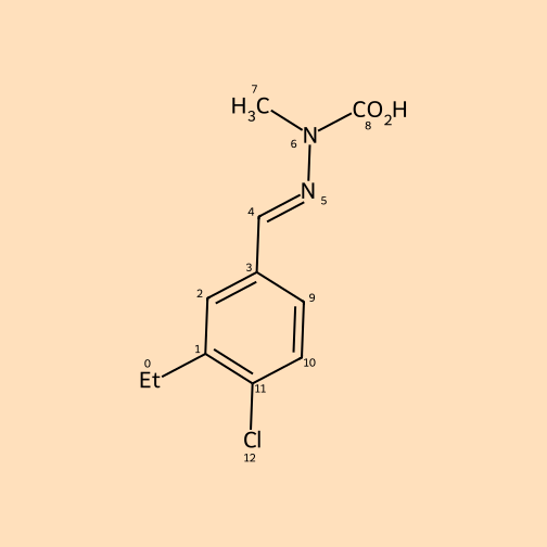 CCc1cc(C=NN(C)C(=O)O)ccc1Cl